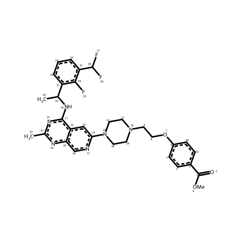 COC(=O)c1ccc(OCCN2CCN(c3cc4c(NC(C)c5cccc(C(F)F)c5F)nc(C)nc4cn3)CC2)cc1